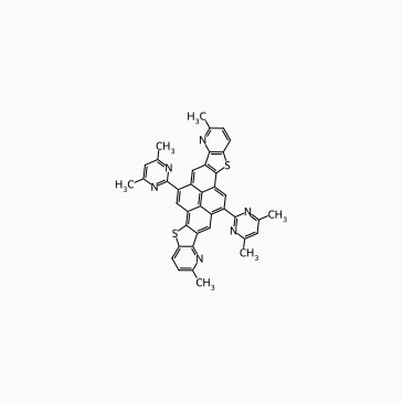 Cc1cc(C)nc(-c2cc3c4sc5ccc(C)nc5c4cc4c(-c5nc(C)cc(C)n5)cc5c6sc7ccc(C)nc7c6cc2c5c43)n1